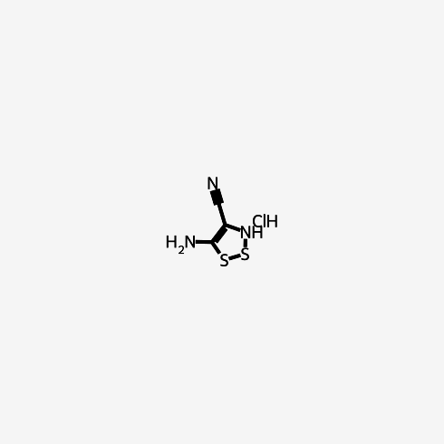 Cl.N#CC1=C(N)SSN1